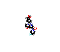 CC1(F)CCN(C(=O)c2cnc3c(c2)OCCN3c2ccc3c(c2)CC3=O)CC1